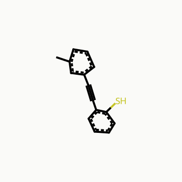 Cc1cccc(C#Cc2ccccc2S)c1